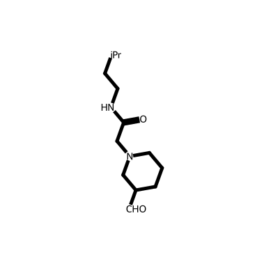 CC(C)CCNC(=O)CN1CCCC(C=O)C1